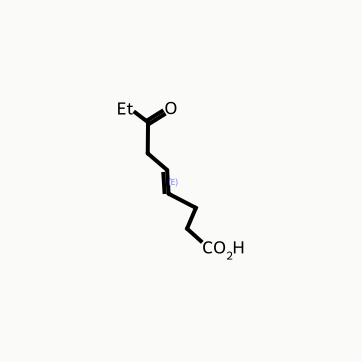 CCC(=O)C/C=C/CCC(=O)O